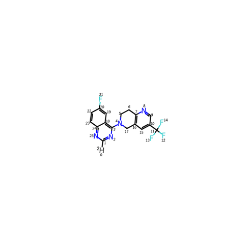 [2H]c1nc(N2CCc3ncc(C(F)(F)F)cc3C2)c2cc(F)ccc2n1